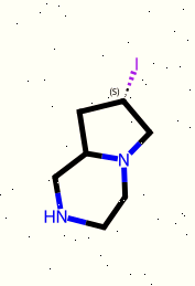 I[C@H]1CC2CNCCN2C1